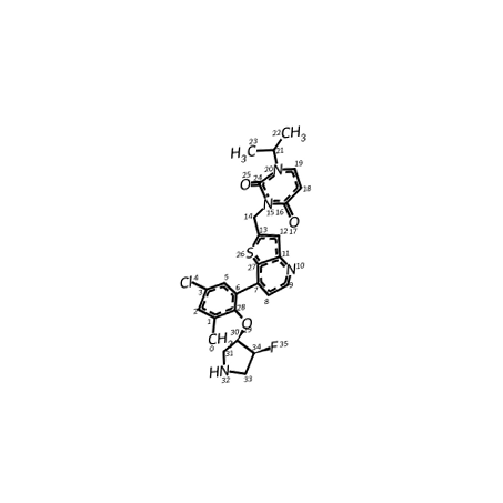 Cc1cc(Cl)cc(-c2ccnc3cc(Cn4c(=O)ccn(C(C)C)c4=O)sc23)c1O[C@@H]1CNC[C@@H]1F